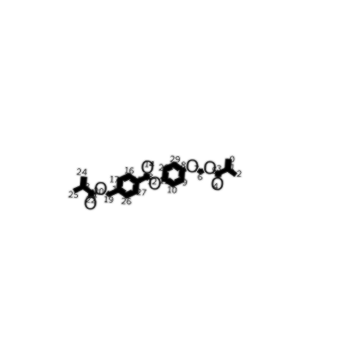 C=C(C)C(=O)OCOc1ccc(OC(=O)c2ccc(COC(=O)C(=C)C)cc2)cc1